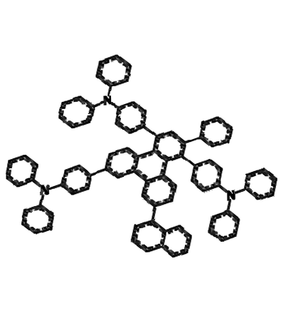 c1ccc(-c2cc(-c3ccc(N(c4ccccc4)c4ccccc4)cc3)c3c4ccc(-c5ccc(N(c6ccccc6)c6ccccc6)cc5)cc4c4cc(-c5cccc6ccccc56)ccc4c3c2-c2ccc(N(c3ccccc3)c3ccccc3)cc2)cc1